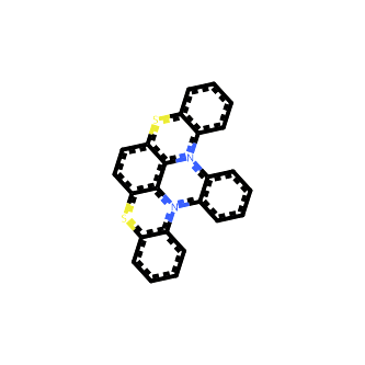 c1ccc2c(c1)sc1ccc3sc4ccccc4n4c5ccccc5n2c1c34